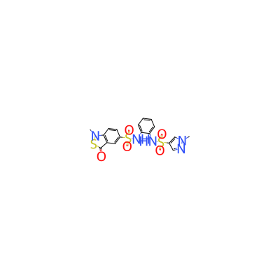 Cn1cc(S(=O)(=O)Nc2ccccc2NS(=O)(=O)c2ccc3c(c2)c(=O)sn3C)cn1